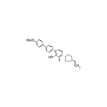 C=C[C@H]1CC[C@H](c2ccc(-c3ccc(-c4ccc(OC)cc4)cc3)c(CCC)c2F)CC1